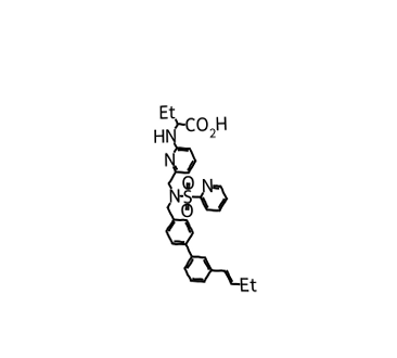 CCC=Cc1cccc(-c2ccc(CN(Cc3cccc(NC(CC)C(=O)O)n3)S(=O)(=O)c3ccccn3)cc2)c1